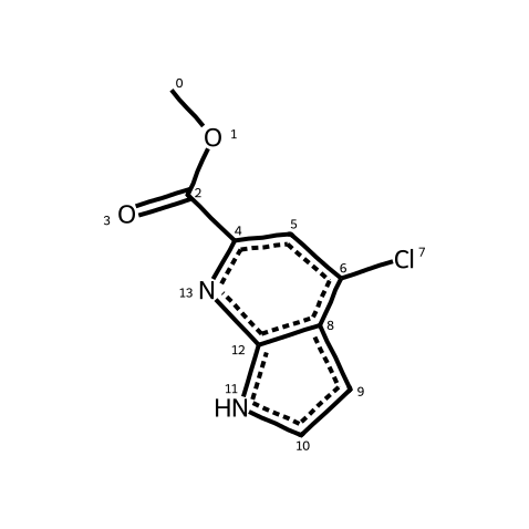 COC(=O)c1cc(Cl)c2cc[nH]c2n1